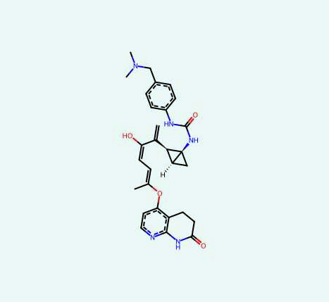 C=C(/C(O)=C\C=C(/C)Oc1ccnc2c1CCC(=O)N2)[C@@H]1[C@@H]2C[C@@]12NC(=O)Nc1ccc(CN(C)C)cc1